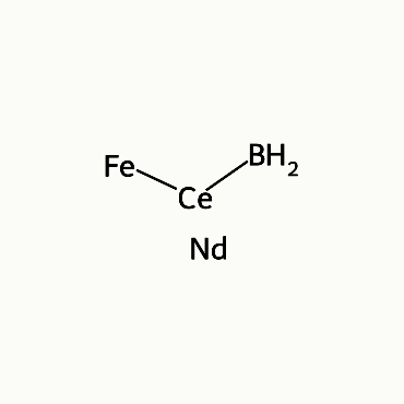 [BH2][Ce][Fe].[Nd]